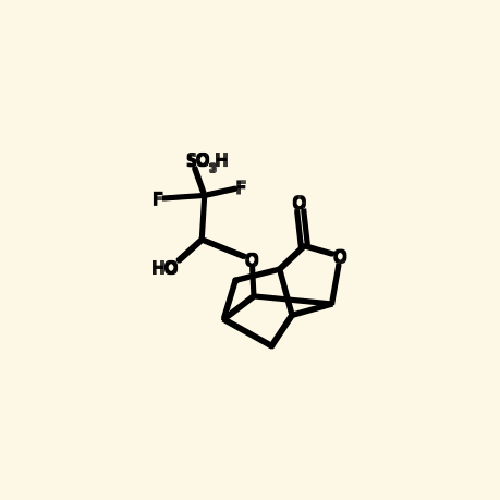 O=C1OC2C3CC(CC13)C2OC(O)C(F)(F)S(=O)(=O)O